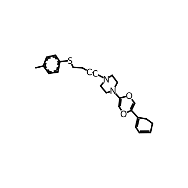 Cc1ccc(SCCCCN2CCN(C3=COC(C4=CC=CCC4)=CO3)CC2)cc1